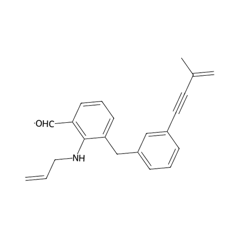 C=CCNc1c([C]=O)cccc1Cc1cccc(C#CC(=C)C)c1